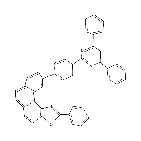 c1ccc(-c2cc(-c3ccccc3)nc(-c3ccc(-c4ccc5ccc6ccc7oc(-c8ccccc8)nc7c6c5c4)cc3)n2)cc1